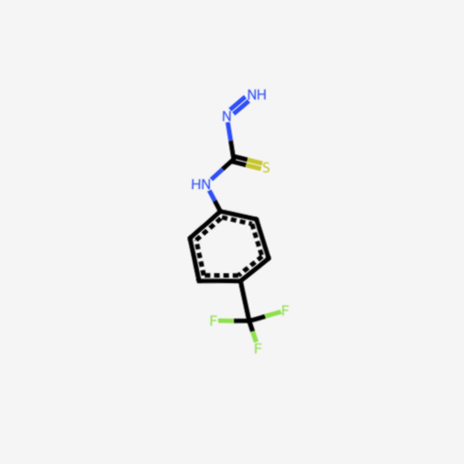 N=NC(=S)Nc1ccc(C(F)(F)F)cc1